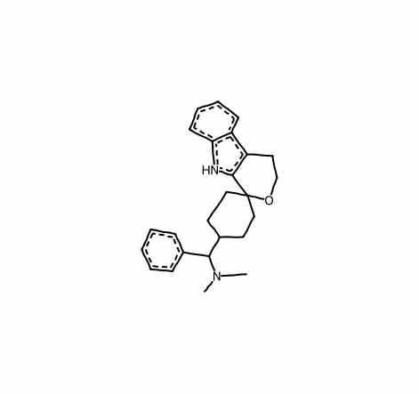 CN(C)C(c1ccccc1)C1CCC2(CC1)OCCc1c2[nH]c2ccccc12